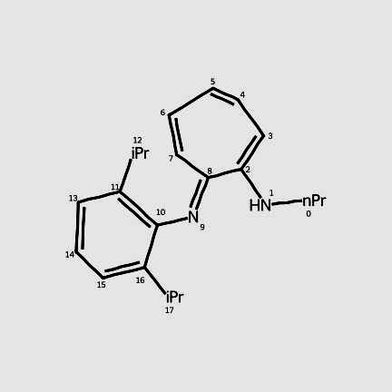 CCCNc1ccccc/c1=N\c1c(C(C)C)cccc1C(C)C